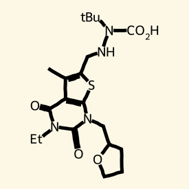 CCn1c(=O)c2c(C)c(CNN(C(=O)O)C(C)(C)C)sc2n(CC2CCCO2)c1=O